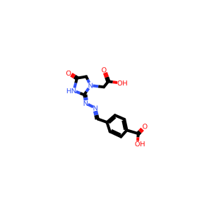 O=C(O)CN1CC(=O)NC1=NN=Cc1ccc(C(=O)O)cc1